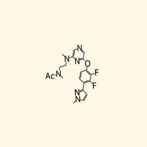 CC(=O)N(C)CCN(C)c1cncc(Oc2ccc(-c3ccn(C)n3)c(F)c2F)n1